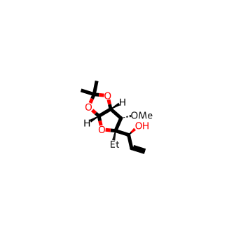 C=C[C@H](O)[C@]1(CC)O[C@@H]2OC(C)(C)O[C@@H]2[C@@H]1OC